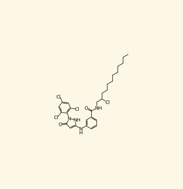 CCCCCCCCCCC(Cl)CNC(=O)c1cccc(Nc2cc(=O)n(-c3c(Cl)cc(Cl)cc3Cl)[nH]2)c1